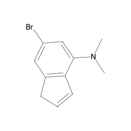 CN(C)c1cc(Br)cc2c1C=CC2